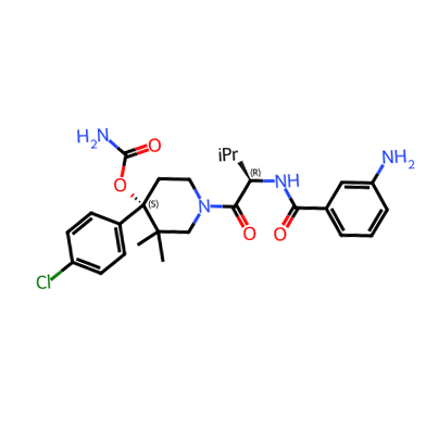 CC(C)[C@@H](NC(=O)c1cccc(N)c1)C(=O)N1CC[C@](OC(N)=O)(c2ccc(Cl)cc2)C(C)(C)C1